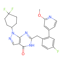 COc1cc(-c2cc(F)ccc2Cc2nc3c(cnn3C3CCC(F)(F)CC3)c(=O)[nH]2)ccn1